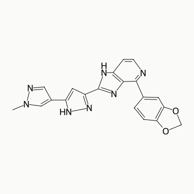 Cn1cc(-c2cc(-c3nc4c(-c5ccc6c(c5)OCO6)nccc4[nH]3)n[nH]2)cn1